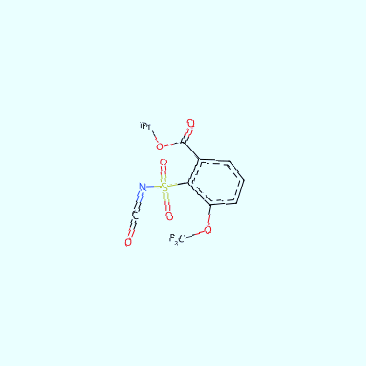 CC(C)OC(=O)c1cccc(OC(F)(F)F)c1S(=O)(=O)N=C=O